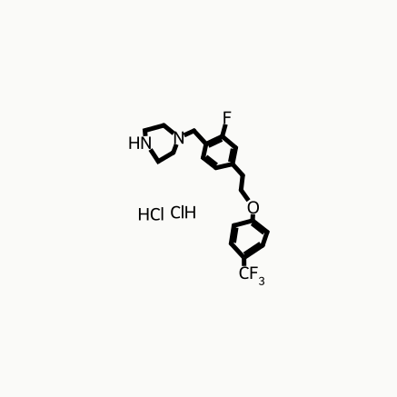 Cl.Cl.Fc1cc(CCOc2ccc(C(F)(F)F)cc2)ccc1CN1CCNCC1